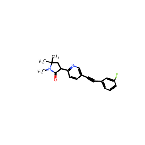 CN1C(=O)C(c2ccc(C#Cc3cccc(F)c3)cn2)CC1(C)C